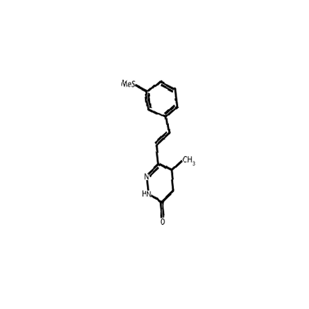 CSc1cccc(C=CC2=NNC(=O)CC2C)c1